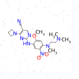 COc1cc(N(C)CCN(C)C)c([N+](=O)[O-])cc1Nc1ncc(C#N)c(N2CCC2)n1